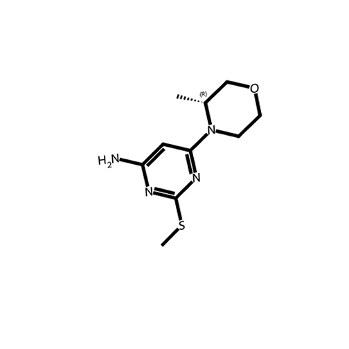 CSc1nc(N)cc(N2CCOC[C@H]2C)n1